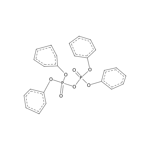 O=P(Oc1ccccc1)(Oc1ccccc1)OP(=O)(Oc1ccccc1)Oc1ccccc1